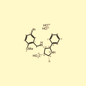 COc1ccc(C(C)C)cc1CN[C@@H]1C(c2ccccc2)N[C@H](C)[C@@H]1C(=O)O.Cl.Cl